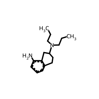 CCCN(CCC)C1CCc2cccc(N)c2C1